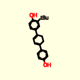 CC(C)(C)c1cc(C2=CC=C(c3ccc(O)cc3)CC2)ccc1O